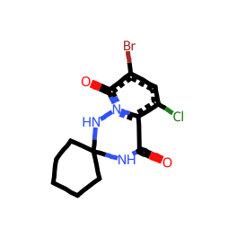 O=C1NC2(CCCCC2)Nn2c1c(Cl)cc(Br)c2=O